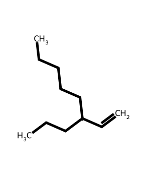 C=C[C](CCC)CCCCC